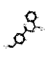 C=Cc1ccc(C(=O)N[C@H](C)c2ccccc2)cc1